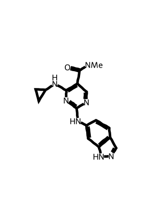 CNC(=O)c1cnc(Nc2ccc3cn[nH]c3c2)nc1NC1CC1